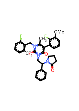 COc1cccc(-c2c(C)n(Cc3c(F)cccc3C(F)(F)F)c(=O)n(CC(c3ccccc3)N3CCCC3=O)c2=O)c1F